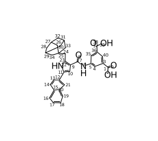 O=C(O)c1cc(NC(=O)c2cc(-c3ccc4ccccc4c3)[nH]c2CC23CC4CC(CC(C4)C2)C3)cc(C(=O)O)c1